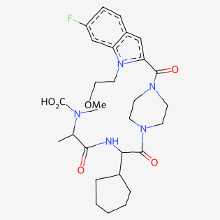 COCCn1c(C(=O)N2CCN(C(=O)C(NC(=O)C(C)N(C)C(=O)O)C3CCCCC3)CC2)cc2ccc(F)cc21